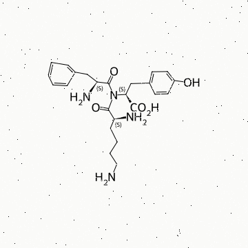 NCCCC[C@H](N)C(=O)N(C(=O)[C@@H](N)Cc1ccccc1)[C@@H](Cc1ccc(O)cc1)C(=O)O